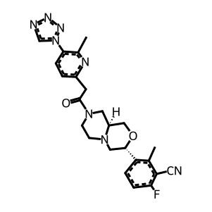 Cc1nc(CC(=O)N2CCN3C[C@@H](c4ccc(F)c(C#N)c4C)OC[C@@H]3C2)ccc1-n1cnnn1